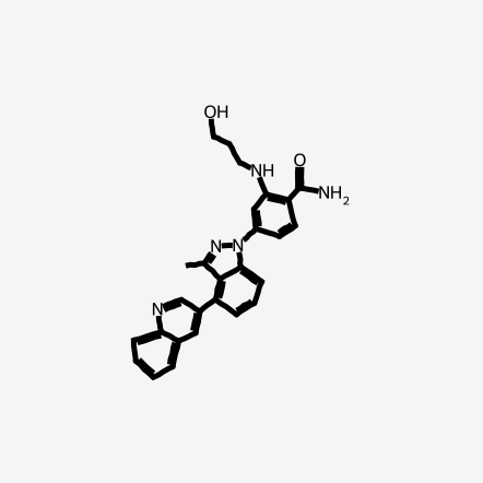 Cc1nn(-c2ccc(C(N)=O)c(NCCCO)c2)c2cccc(-c3cnc4ccccc4c3)c12